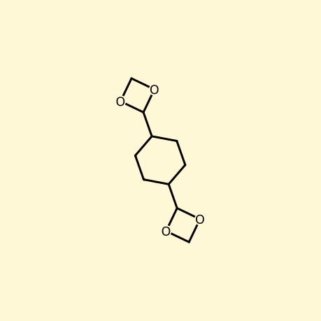 C1OC(C2CCC(C3OCO3)CC2)O1